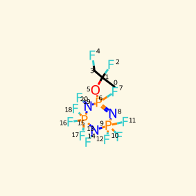 CC(F)(CF)OP1(F)=NP(F)(F)(F)N(F)P(F)(F)(F)N1F